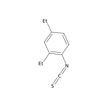 CCc1ccc(N=C=S)c(CC)c1